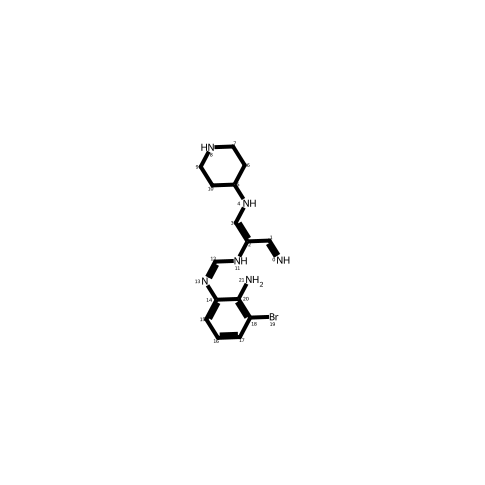 N=C/C(=C\NC1CCNCC1)N/C=N\c1cccc(Br)c1N